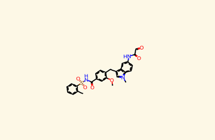 COc1cc(C(=O)NS(=O)(=O)c2ccccc2C)ccc1Cc1cn(C)c2ccc(NC(=O)C=O)cc12